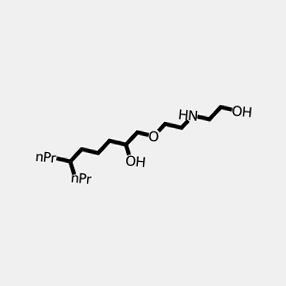 CCCC(CCC)CCCC(O)COCCNCCO